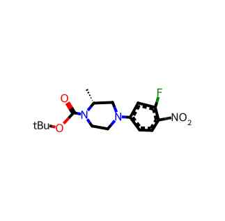 C[C@@H]1CN(c2ccc([N+](=O)[O-])c(F)c2)CCN1C(=O)OC(C)(C)C